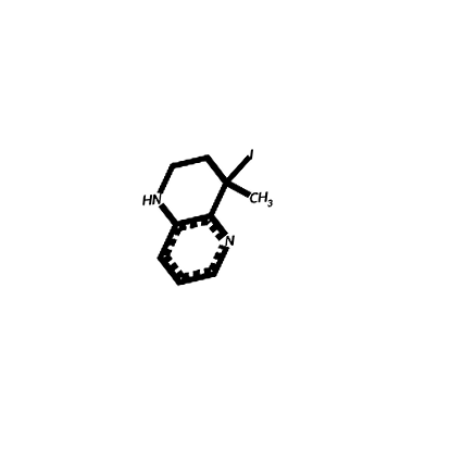 CC1(I)CCNc2cccnc21